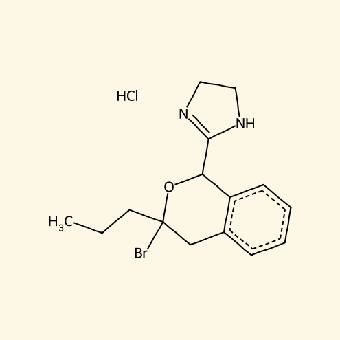 CCCC1(Br)Cc2ccccc2C(C2=NCCN2)O1.Cl